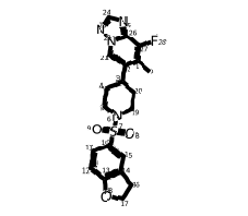 Cc1c(C2CCN(S(=O)(=O)c3ccc4c(c3)CCO4)CC2)cn2ncnc2c1F